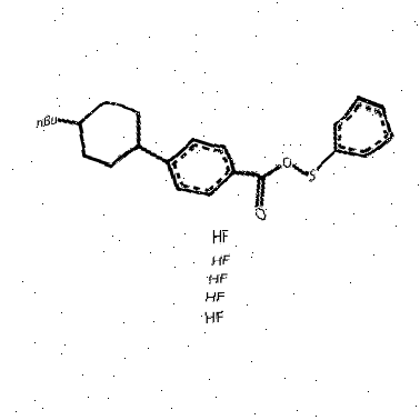 CCCCC1CCC(c2ccc(C(=O)OSc3ccccc3)cc2)CC1.F.F.F.F.F